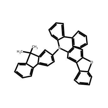 CC1(C)c2ccccc2-c2ccc(N(c3ccc4oc5ccccc5c4c3)c3ccccc3-c3ccccc3)cc21